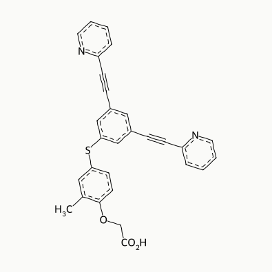 Cc1cc(Sc2cc(C#Cc3ccccn3)cc(C#Cc3ccccn3)c2)ccc1OCC(=O)O